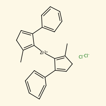 CC1=[C]([Zr+2][C]2=C(C)CC=C2c2ccccc2)C(c2ccccc2)=CC1.[Cl-].[Cl-]